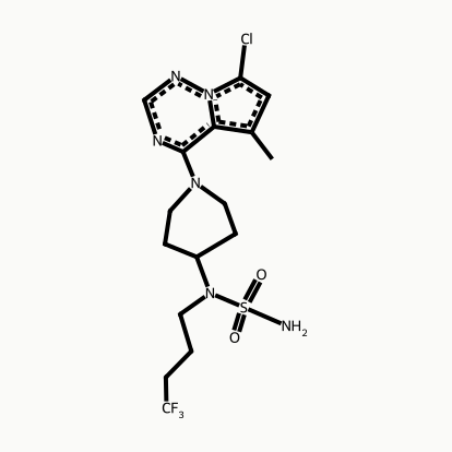 Cc1cc(Cl)n2ncnc(N3CCC(N(CCCC(F)(F)F)S(N)(=O)=O)CC3)c12